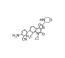 Cc1c(-c2ccc(N)c(C#N)c2)ccc2c3oc(C4COCCN4)nc3c(=O)n(C3CC3)c12